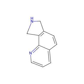 c1cnc2c3c(ccc2c1)CNC3